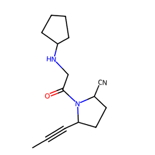 CC#CC1CCC(C#N)N1C(=O)CNC1CCCC1